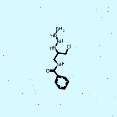 BBBBC(CCl)CNC(=O)c1ccccc1